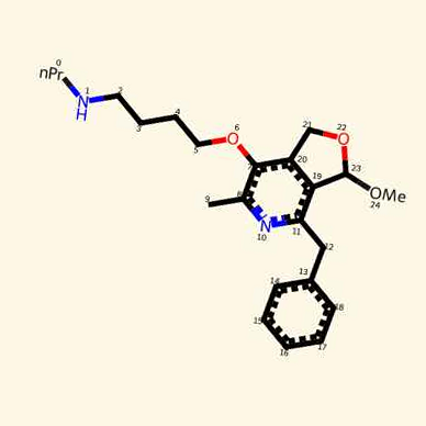 CCCNCCCCOc1c(C)nc(Cc2ccccc2)c2c1COC2OC